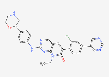 CCn1c(=O)c(-c2ccc(-c3cncnc3)cc2Cl)cc2cnc(Nc3ccc(C4CNCCO4)cc3)nc21